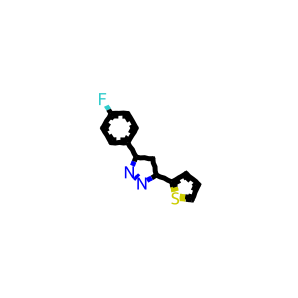 Fc1ccc(C2CC(c3cccs3)N=N2)cc1